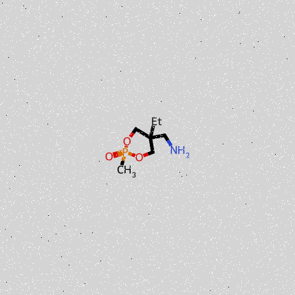 CCC1(CN)COP(C)(=O)OC1